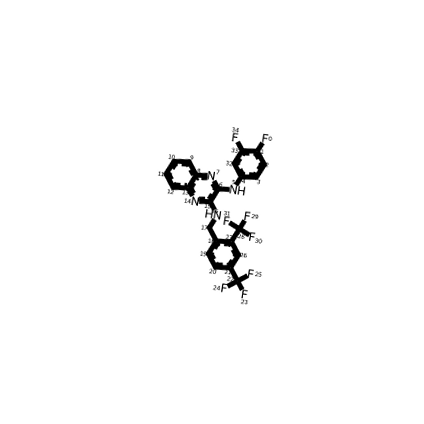 Fc1ccc(Nc2nc3ccccc3nc2NCc2ccc(C(F)(F)F)cc2C(F)(F)F)cc1F